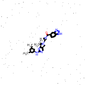 Cc1cc(C)cc(Nc2ncc3c(n2)C(C)(C)N(C2CN(C(=O)c4ccc5[nH]nnc5c4)C2)C3)c1